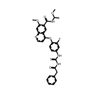 COc1cc2nccc(Oc3ccc(NC(=S)NC(=O)Cc4ccccc4)cc3F)c2cc1C(=O)NC(C)OC